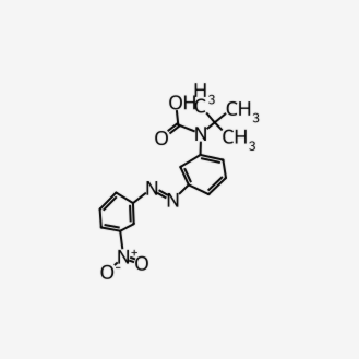 CC(C)(C)N(C(=O)O)c1cccc(N=Nc2cccc([N+](=O)[O-])c2)c1